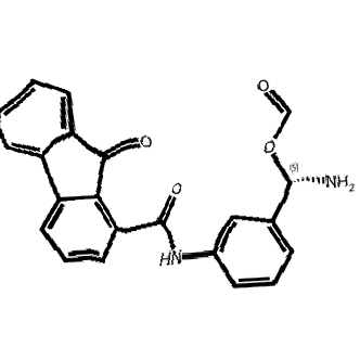 N[C@@H](OC=O)c1cccc(NC(=O)c2cccc3c2C(=O)c2ccccc2-3)c1